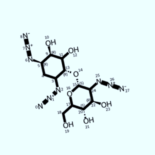 [N-]=[N+]=NC1C[C@@H](N=[N+]=[N-])[C@@H](O)C(O)[C@@H]1O[C@H]1OC(CO)[C@@H](O)[C@H](O)C1N=[N+]=[N-]